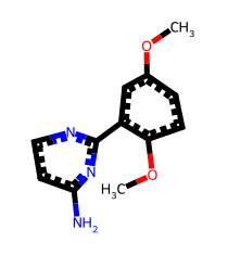 COc1ccc(OC)c(-c2nccc(N)n2)c1